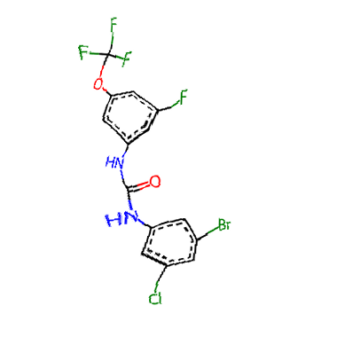 O=C(Nc1cc(Cl)cc(Br)c1)Nc1cc(F)cc(OC(F)(F)F)c1